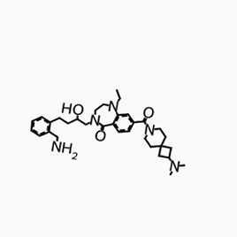 CCN1CCN(CC(O)CCc2ccccc2CN)C(=O)c2ccc(C(=O)N3CCC4(CC3)CC(N(C)C)C4)cc21